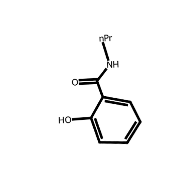 CCCNC(=O)c1ccccc1O